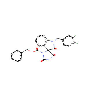 O=C1NC(=O)C2(C(=O)N(Cc3ccc(Cl)c(Cl)c3)c3ccccc32)N1C(=O)OCc1ccccc1